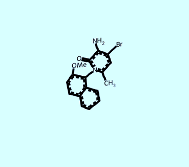 COc1ccc2ccccc2c1-n1c(C)cc(Br)c(N)c1=O